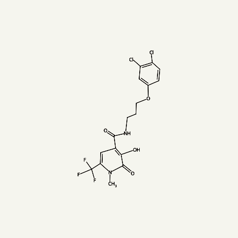 Cn1c(C(F)(F)F)cc(C(=O)NCCCOc2ccc(Cl)c(Cl)c2)c(O)c1=O